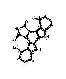 O=C1NC(=O)c2c1c1c([nH]c3cccc(Br)c31)c1[nH]c3cccc(Br)c3c21